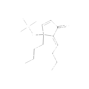 CCCC=C1C(=O)C=CC1(CCCC)O[Si](C)(C)C